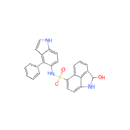 O=S(=O)(Nc1ccc2[nH]ccc2c1-c1ccccc1)c1ccc2c3c(cccc13)C(O)N2